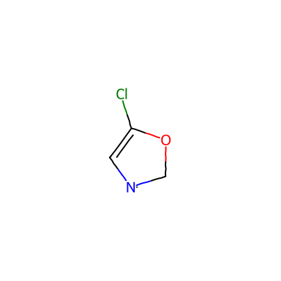 ClC1=C[N]CO1